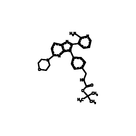 CC(C)(C)OC(=O)NCc1ccc(-n2c(-c3cccnc3N)nc3ccc(N4CCOCC4)nc32)cc1